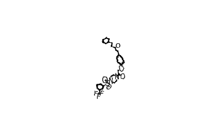 O=C(C=Cc1ccccc1)C=Cc1ccc(OCC(=O)N2CCN(S(=O)(=O)c3cccc(C(F)(F)F)c3)CC2)cc1